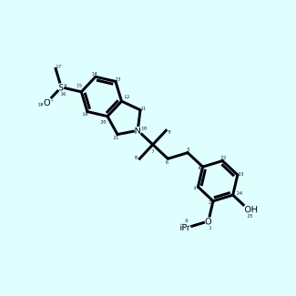 CC(C)Oc1cc(CCC(C)(C)N2Cc3ccc([S+](C)[O-])cc3C2)ccc1O